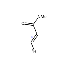 [3H]/C=C/C(=O)NC